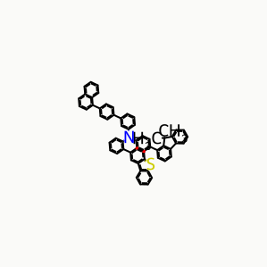 CC1(C)c2ccccc2-c2cccc(-c3ccc(N(c4cccc(-c5ccc(-c6cccc7ccccc67)cc5)c4)c4ccccc4-c4ccc5sc6ccccc6c5c4)cc3)c21